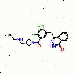 CC(C)CNCC1CN(C(=O)c2cc(Cc3n[nH]c(=O)c4ccccc34)ccc2F)C1.Cl